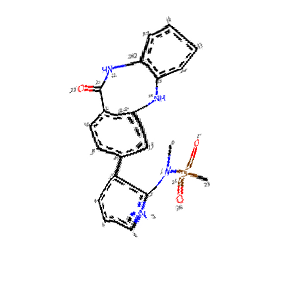 CN(c1ncccc1-c1ccc2c(c1)Nc1ccccc1NC2=O)S(C)(=O)=O